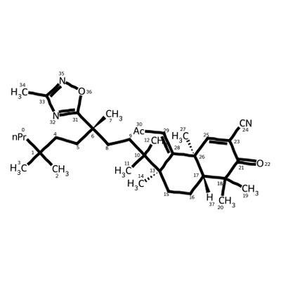 CCCC(C)(C)CC[C@@](C)(CCC(C)(C)[C@]1(C)CC[C@H]2C(C)(C)C(=O)C(C#N)=C[C@]2(C)/C1=C/C(C)=O)c1nc(C)no1